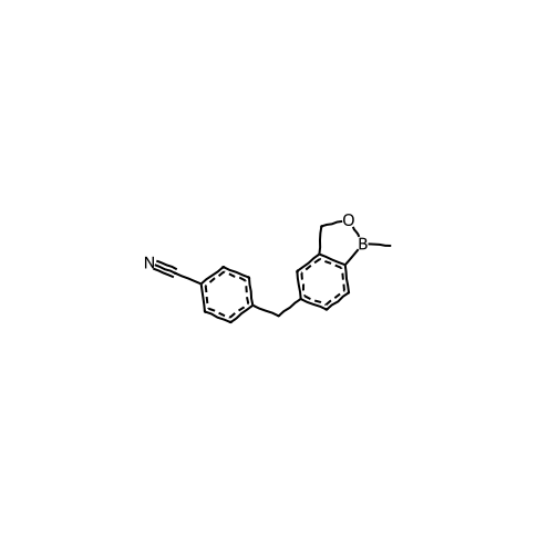 CB1OCc2cc(Cc3ccc(C#N)cc3)ccc21